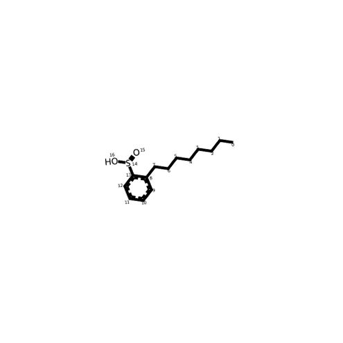 CCCCCCCCc1ccccc1S(=O)O